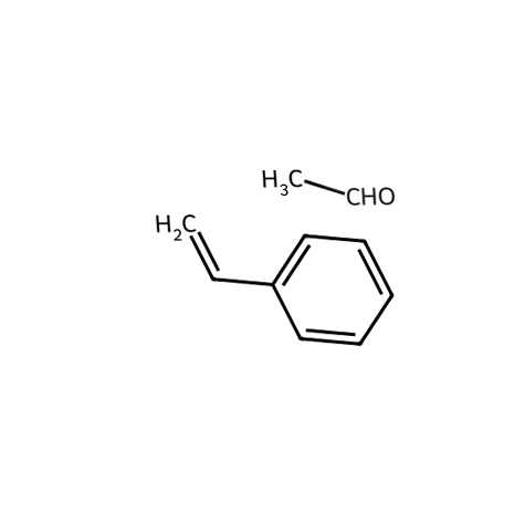 C=Cc1ccccc1.CC=O